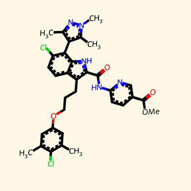 COC(=O)c1ccc(NC(=O)c2[nH]c3c(-c4c(C)nn(C)c4C)c(Cl)ccc3c2CCCOc2cc(C)c(Cl)c(C)c2)nc1